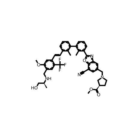 COC(=O)[C@@H]1CCN(Cc2cc(C#N)c3oc(-c4cccc(-c5cccc(/C=C/c6cc(OC)c(CN[C@@H](C)CO)cc6C(F)(F)F)c5C)c4C)nc3c2)C1